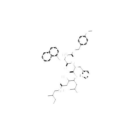 CCC(C)CNC(=O)CC(O)C(CC(C)C)NC(=O)[C@H](Cc1cscn1)NC(=O)[C@H](Cc1cccc2ccccc12)NC(=O)OCc1ccc(OC)cc1